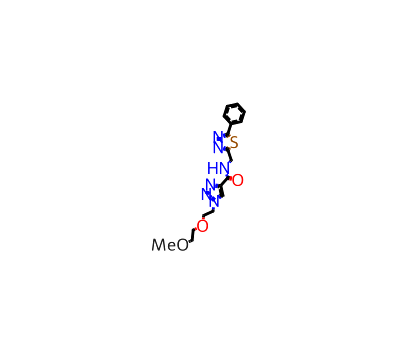 COCCOCCn1cc(C(=O)NCc2nnc(-c3ccccc3)s2)nn1